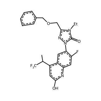 CCn1c(COCc2ccccc2)nn(-c2cc3c(C(C)C(F)(F)F)cc(O)nc3cc2F)c1=O